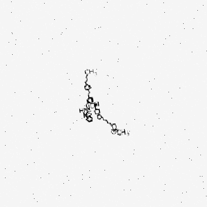 C=CC(=O)OCCCCCCOc1ccc(C(=O)Oc2ccc(CCc3ccc(CCCCC)cc3)cc2/C=N/Nc2nc3ccccc3s2)cc1